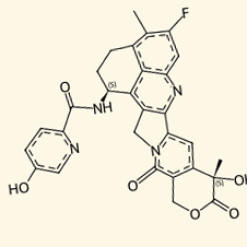 Cc1c(F)cc2nc3c(c4c2c1CC[C@@H]4NC(=O)c1ccc(O)cn1)Cn1c-3cc2c(c1=O)COC(=O)[C@@]2(C)O